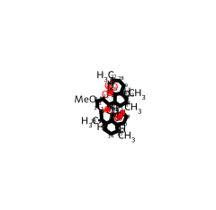 CO[C@@H](C[C@H]1O[C@@H]2O[C@]3(C)CC[C@H]4[C@H](C)CC[C@@H]([C@H]1C)[C@@]24OO3)[C@H]1O[C@@H]2O[C@]3(C)CC[C@H]4[C@H](C)CC[C@@H]([C@H]1C)[C@@]24OO3